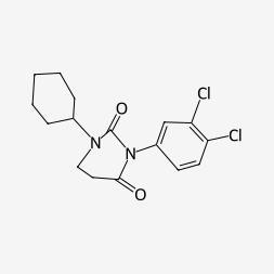 O=C1CCN(C2CCCCC2)C(=O)N1c1ccc(Cl)c(Cl)c1